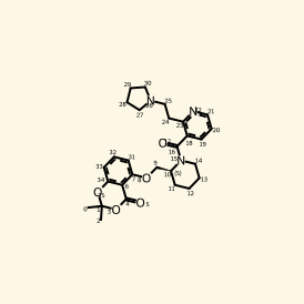 CC1(C)OC(=O)c2c(OC[C@@H]3CCCCN3C(=O)c3cccnc3CCN3CCCC3)cccc2O1